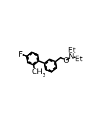 CCN(CC)OCc1cccc(-c2ccc(F)cc2C)c1